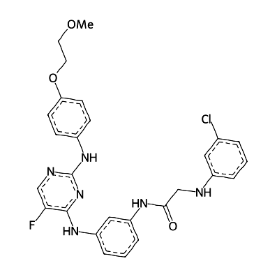 COCCOc1ccc(Nc2ncc(F)c(Nc3cccc(NC(=O)CNc4cccc(Cl)c4)c3)n2)cc1